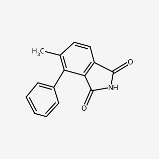 Cc1ccc2c(c1-c1ccccc1)C(=O)NC2=O